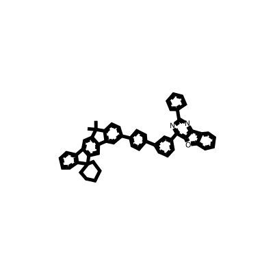 CC1(C)c2ccc(-c3ccc(-c4cccc(-c5nc(-c6ccccc6)nc6c5oc5ccccc56)c4)cc3)cc2-c2cc3c(cc21)-c1ccccc1C31CCCCC1